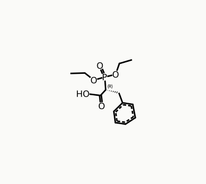 CCOP(=O)(OCC)[C@H](Cc1ccccc1)C(=O)O